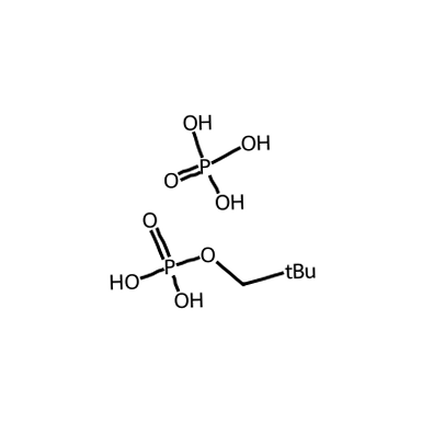 CC(C)(C)COP(=O)(O)O.O=P(O)(O)O